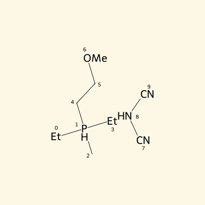 CC[PH](C)(CC)CCOC.N#CNC#N